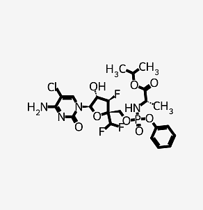 CC(C)OC(=O)[C@H](C)NP(=O)(OC[C@@]1(C(F)F)O[C@@H](n2cc(Cl)c(N)nc2=O)[C@H](O)[C@H]1F)Oc1ccccc1